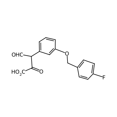 O=CC(C(=O)C(=O)O)c1cccc(OCc2ccc(F)cc2)c1